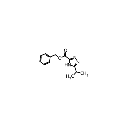 CC(C)c1nnc(C(=O)OCc2ccccc2)[nH]1